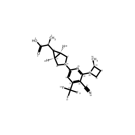 C[C@H](C(=O)O)C1[C@H]2CN(c3cc(C(F)(F)F)c(C#N)c(N4CC[C@@H]4C)n3)C[C@@H]12